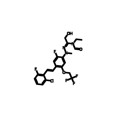 CCN(C=O)/C(CO)=N\N(C)c1cc(OCC(F)(F)F)c(/C=C/c2c(F)cccc2Cl)cc1F